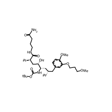 COCCCOc1cc(C[C@@H](C[C@H](NC(=O)OC(C)(C)C)[C@@H](O)C[C@H](C(=O)NCCCC(N)=O)C(C)C)C(C)C)ccc1OC